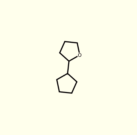 C1CC[C](C2CCCO2)C1